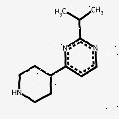 CC(C)c1nccc(C2CCNCC2)n1